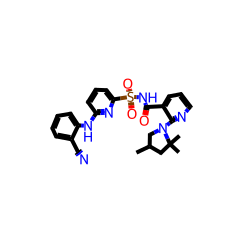 CC1CN(c2ncccc2C(=O)NS(=O)(=O)c2cccc(Nc3ccccc3C#N)n2)C(C)(C)C1